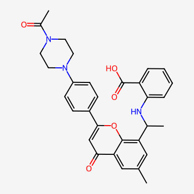 CC(=O)N1CCN(c2ccc(-c3cc(=O)c4cc(C)cc(C(C)Nc5ccccc5C(=O)O)c4o3)cc2)CC1